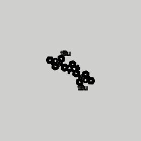 Cc1c2c3c(cccc3c3cc(N(c4ccc(C(C)(C)C)cc4)c4cccc5c4oc4ccccc45)ccc13)C(C)(C)c1cc(N(c3ccc(C(C)(C)C)cc3)c3cccc4c3oc3ccccc34)ccc1-2